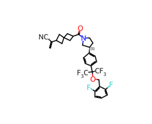 C=C(C#N)C1CC2(C1)CC(C(=O)N1CC[C@@H](c3ccc(C(OCc4c(F)cccc4F)(C(F)(F)F)C(F)(F)F)cc3)C1)C2